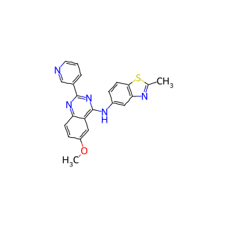 COc1ccc2nc(-c3cccnc3)nc(Nc3ccc4sc(C)nc4c3)c2c1